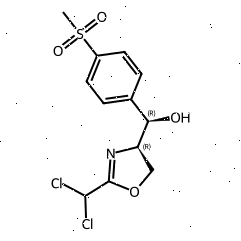 CS(=O)(=O)c1ccc([C@@H](O)[C@H]2COC(C(Cl)Cl)=N2)cc1